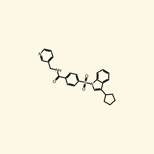 O=C(NCc1cccnc1)c1ccc(S(=O)(=O)n2cc(C3CCCC3)c3ccccc32)cc1